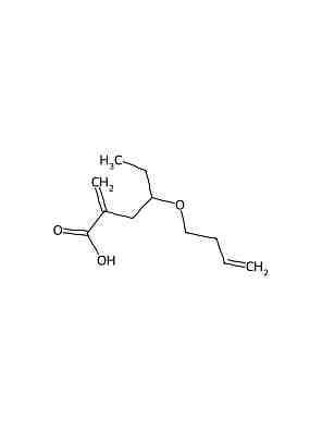 C=CCCOC(CC)CC(=C)C(=O)O